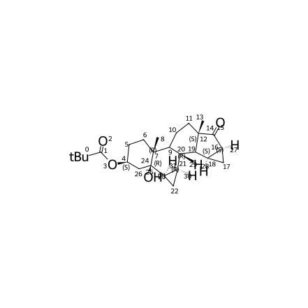 CC(C)(C)C(=O)O[C@H]1CC[C@]2(C)C3CC[C@]4(C)C(=O)[C@H]5C[C@H]5C4[C@@H]3[C@H]3C[C@H]3[C@]2(O)C1